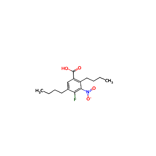 CCCCc1cc(C(=O)O)c(CCCC)c([N+](=O)[O-])c1F